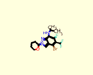 CC(C)Nc1c(F)c(C(F)F)c(Br)c2cn(C3CCCCO3)nc12